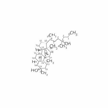 CCCC(C)(O)CC[C@@H](C)[C@H]1CC[C@H]2[C@@H]3CC[C@@H]4C[C@@](C)(O)CC[C@]4(C)[C@H]3CC[C@]12C